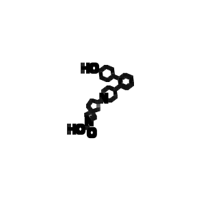 O=C(O)N1CC2(CCC(N3CCC(c4ccccc4C4CCC(O)CC4)CC3)C2)C1